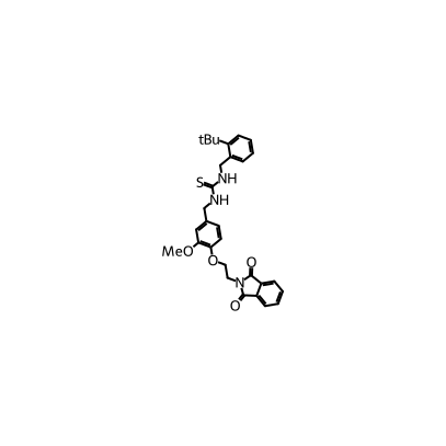 COc1cc(CNC(=S)NCc2ccccc2C(C)(C)C)ccc1OCCN1C(=O)c2ccccc2C1=O